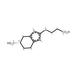 O=C(O)CCSc1nc2c(s1)C[C@@H](C(=O)O)CC2